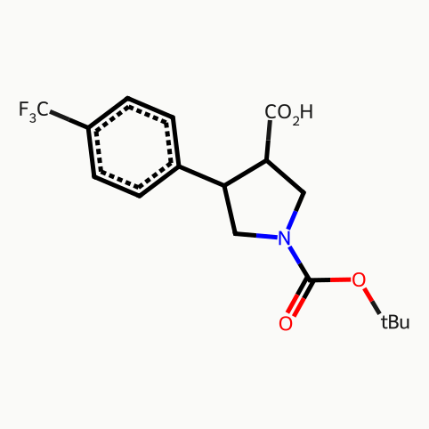 CC(C)(C)OC(=O)N1CC(C(=O)O)C(c2ccc(C(F)(F)F)cc2)C1